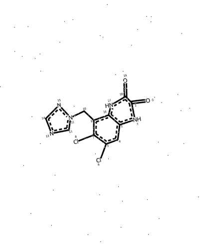 O=c1[nH]c2cc(Cl)c(Cl)c(Cn3cncn3)c2[nH]c1=O